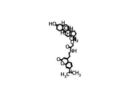 CN(C)c1ccc2c(CCNC(=O)CO/N=C3/CC[C@H]4[C@@H]5CC[C@H]6C[C@H](O)CC[C@]6(C)[C@H]5CC[C@]34C)cc(=O)oc2c1